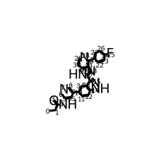 CCC(=O)Nc1cncc(-c2ccc3[nH]nc(-c4nc5c(-c6ccc(F)cc6)nccc5[nH]4)c3c2)c1